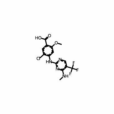 CNc1nc(Nc2cc(OC)c(C(=O)O)cc2Cl)ncc1C(F)(F)F